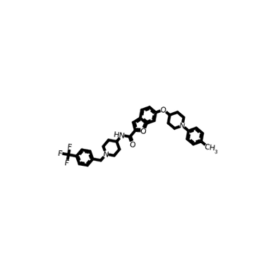 Cc1ccc(N2CCC(Oc3ccc4cc(C(=O)NC5CCN(Cc6ccc(C(F)(F)F)cc6)CC5)oc4c3)CC2)cc1